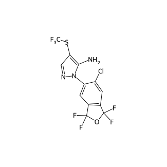 Nc1c(SC(F)(F)F)cnn1-c1cc2c(cc1Cl)C(F)(F)OC2(F)F